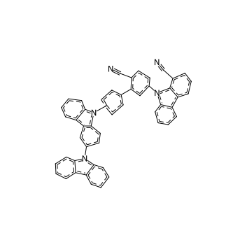 N#Cc1ccc(-n2c3ccccc3c3cccc(C#N)c32)cc1-c1ccc(-n2c3ccccc3c3cc(-n4c5ccccc5c5ccccc54)ccc32)cc1